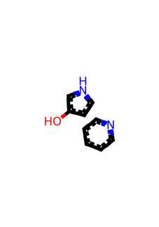 Oc1cc[nH]c1.c1ccncc1